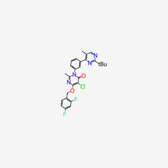 Cc1cnc(C(C)(C)C)nc1-c1cccc(-n2c(C)nc(OCc3ccc(F)cc3F)c(Cl)c2=O)c1